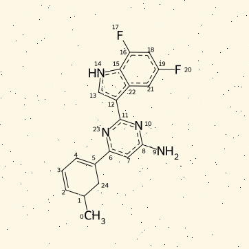 CC1C=CC=C(c2cc(N)nc(-c3c[nH]c4c(F)cc(F)cc34)n2)C1